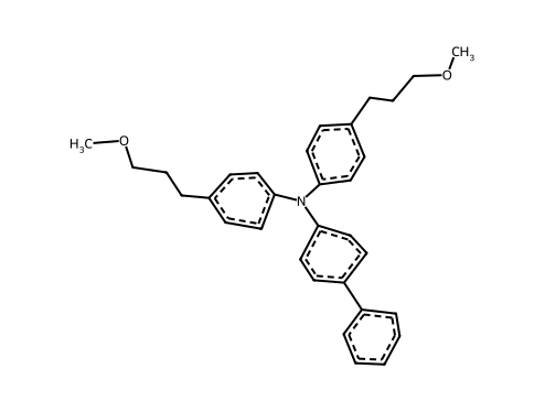 COCCCc1ccc(N(c2ccc(CCCOC)cc2)c2ccc(-c3ccccc3)cc2)cc1